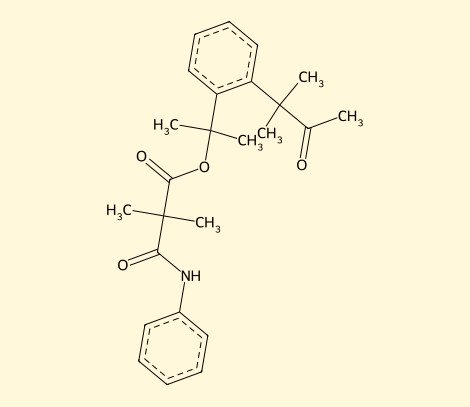 CC(=O)C(C)(C)c1ccccc1C(C)(C)OC(=O)C(C)(C)C(=O)Nc1ccccc1